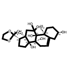 CC1([C@H]2CC[C@@]3(O)[C@]4(O)CC=C5C[C@@H](O)CC[C@]5(C)[C@@]4(O)C(O)(O)C[C@]23C)OCCO1